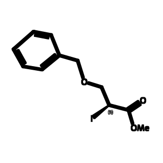 COC(=O)[C@@H](I)COCc1ccccc1